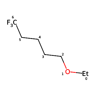 CCOCCCCC(F)(F)F